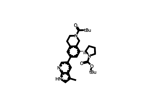 Cc1c[nH]c2ncc(-c3cc4c(c([C@@H]5CCCN5C(=O)OC(C)(C)C)c3)CN(C(=O)C(C)(C)C)CC4)cc12